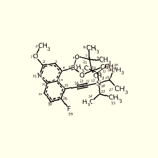 COc1cc(B2OC(C)(C)C(C)(C)O2)c2c(C#C[Si](C(C)C)(C(C)C)C(C)C)c(F)ccc2n1